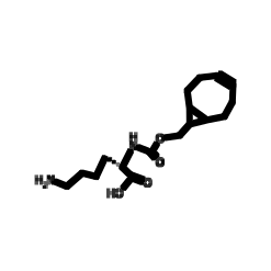 NCCCC[C@H](NC(=O)OCC1C2CCC#CCCC21)C(=O)O